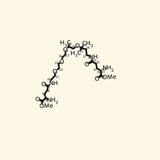 COC(=O)[C@@H](N)CCC(=O)NCCOCCOCCOC(C)COC(C)(C)CCNC(=O)CC[C@H](N)C(=O)OC